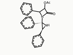 CC(=O)OC1C(=O)N([C@@]2(c3ccccc3)N[C@H]2c2ccccc2)C1c1ccccc1